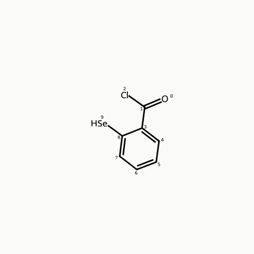 O=C(Cl)c1ccccc1[SeH]